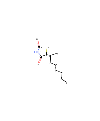 CCCCCCC(C)C1SC(=O)NC1=O